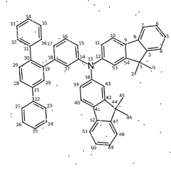 CC1(C)c2ccccc2-c2ccc(N(c3cccc(-c4cc(-c5ccccc5)ccc4-c4ccccc4)c3)c3ccc4c(c3)C(C)(C)c3ccccc3-4)cc21